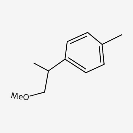 COCC(C)c1ccc(C)cc1